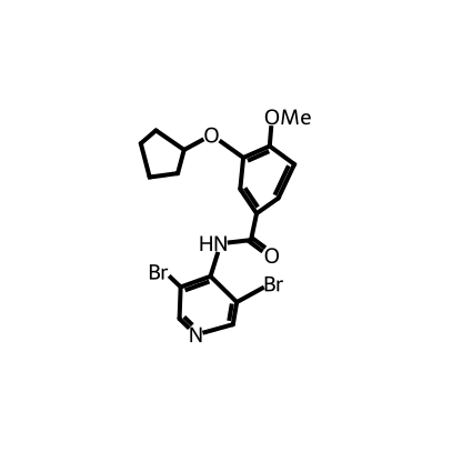 COc1ccc(C(=O)Nc2c(Br)cncc2Br)cc1OC1CCCC1